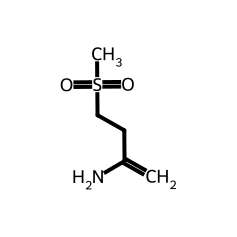 C=C(N)CCS(C)(=O)=O